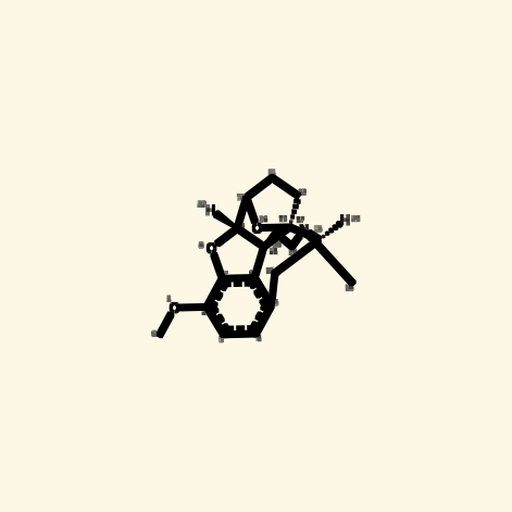 COc1ccc2c3c1O[C@@H]1C4CC[C@]5(O4)[C@H](C2)N(C)CC[C@@]315